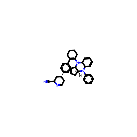 N#CC1C[C@H](c2ccc(C3=C(N4C5C=CC=CC5N(c5ccccc5)[C@@H]5CC=CC54)CCCC3)cc2)CC=N1